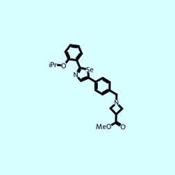 COC(=O)C1CN(Cc2ccc(-c3cnc(-c4ccccc4OC(C)C)[se]3)cc2)C1